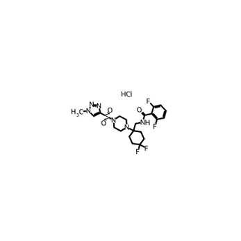 Cl.Cn1cc(S(=O)(=O)N2CCN(C3(CNC(=O)c4c(F)cccc4F)CCC(F)(F)CC3)CC2)nn1